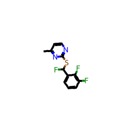 Cc1ccnc(SC(F)c2cccc(F)c2F)n1